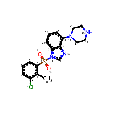 Cc1c(Cl)cccc1S(=O)(=O)n1cnc2c(N3CCNCC3)cccc21